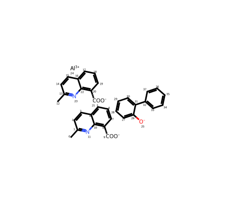 Cc1ccc2cccc(C(=O)[O-])c2n1.Cc1ccc2cccc(C(=O)[O-])c2n1.[Al+3].[O-]c1ccccc1-c1ccccc1